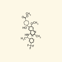 COc1cc2nc(C)nc(N[C@H](C)c3cccc(C(F)(F)F)c3)c2cc1[C@]1(O)CC[C@H](C(=O)OC)CC1